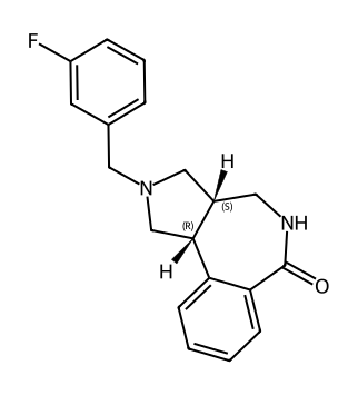 O=C1NC[C@H]2CN(Cc3cccc(F)c3)C[C@H]2c2ccccc21